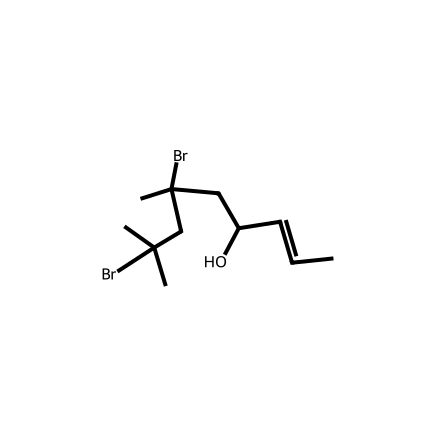 CC=CC(O)CC(C)(Br)CC(C)(C)Br